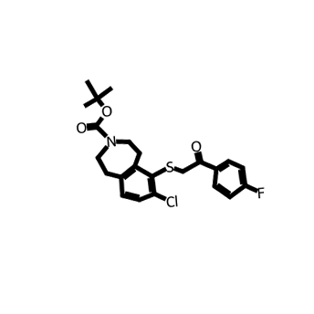 CC(C)(C)OC(=O)N1CCc2ccc(Cl)c(SCC(=O)c3ccc(F)cc3)c2CC1